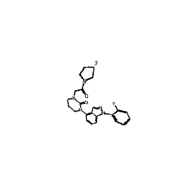 O=C(CN1CCCN(c2cccc3c2cnn3-c2ccccc2F)C1=O)N1CC[C@H](F)C1